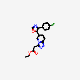 CCOC(=O)Cc1nnc2ccc(-c3ocnc3-c3ccc(F)cc3)cn12